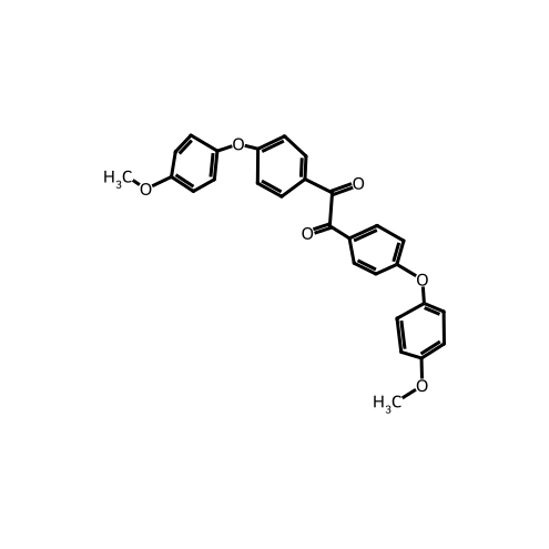 COc1ccc(Oc2ccc(C(=O)C(=O)c3ccc(Oc4ccc(OC)cc4)cc3)cc2)cc1